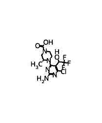 C[C@H]1CN(C(=O)O)CCN1c1nc(N)nc(Cl)c1C(O)C(F)(F)F